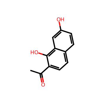 CC(=O)c1ccc2ccc(O)cc2c1O